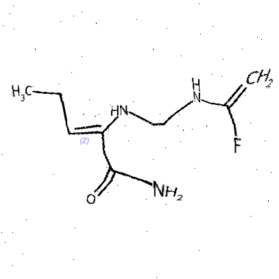 C=C(F)NCN/C(=C\CC)C(N)=O